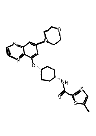 Cc1cnc(C(=O)N[C@H]2CC[C@@H](Oc3cc(N4CCOCC4)cc4nccnc34)CC2)s1